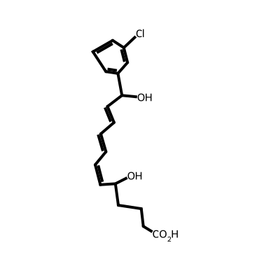 O=C(O)CCCC(O)\C=C/C=C/C=C/C(O)c1cccc(Cl)c1